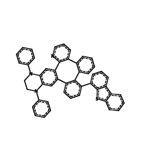 c1ccc(N2CCN(c3ccccc3)c3cc4c(cc32)-c2cccc(-c3cccc5c3sc3ccccc35)c2-c2ccccc2-c2cccnc2-4)cc1